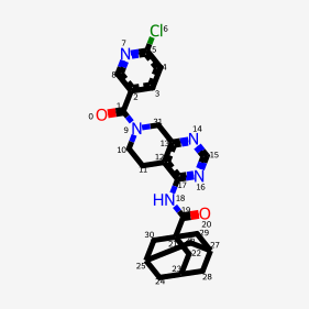 O=C(c1ccc(Cl)nc1)N1CCc2c(ncnc2NC(=O)C23CC4CC(CC(C4)C2)C3)C1